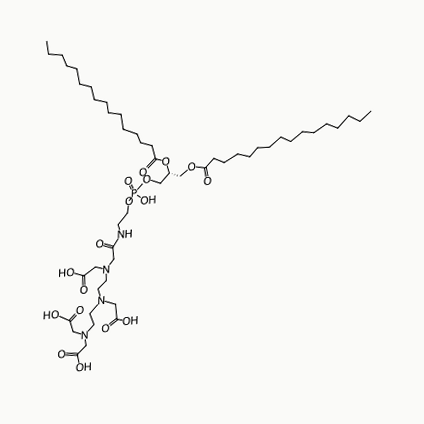 CCCCCCCCCCCCCCCC(=O)OC[C@H](COP(=O)(O)OCCNC(=O)CN(CCN(CCN(CC(=O)O)CC(=O)O)CC(=O)O)CC(=O)O)OC(=O)CCCCCCCCCCCCCCC